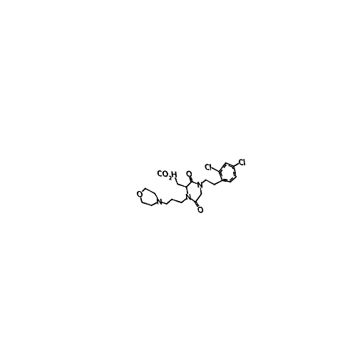 O=C(O)CC1C(=O)N(CCc2ccc(Cl)cc2Cl)CC(=O)N1CCCN1CCOCC1